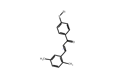 CCSc1ccc(C(=O)/C=C/c2cc(C)ccc2C)cc1